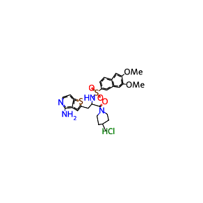 COc1cc2ccc(S(=O)(=O)NC(Cc3cc4c(N)nccc4s3)C(=O)N3CCC(C)CC3)cc2cc1OC.Cl